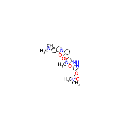 CN(C)C(=O)COc1ccc(Nc2cc(-c3cccc(N4CCc5cc(N(C)C)ccc5C4=O)c3CO)cn(C)c2=O)nc1